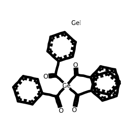 O=[C](c1ccccc1)[Ge]([C](=O)c1ccccc1)([C](=O)c1ccccc1)[C](=O)c1ccccc1.[Ge]